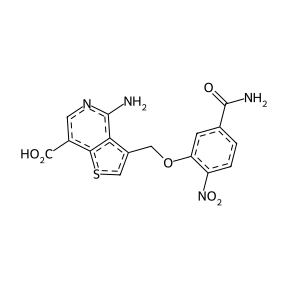 NC(=O)c1ccc([N+](=O)[O-])c(OCc2csc3c(C(=O)O)cnc(N)c23)c1